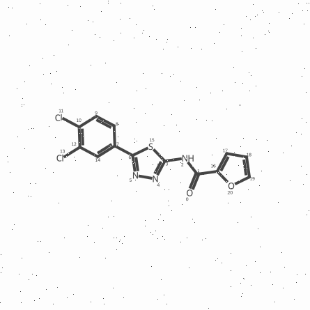 O=C(Nc1nnc(-c2ccc(Cl)c(Cl)c2)s1)c1ccco1